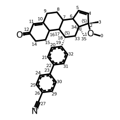 CO[C@@]1(C)C=CC2C3CCC4=CC(=O)CCC4C3[C@@H](c3ccc(-c4ccc(C#N)cc4)cc3)C[C@@]21C